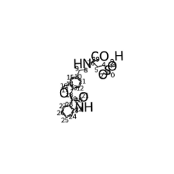 CS(=O)(=O)CCC(NCCc1ccc2c(c1)COC2=C1C(=O)Nc2ccccc21)C(=O)O